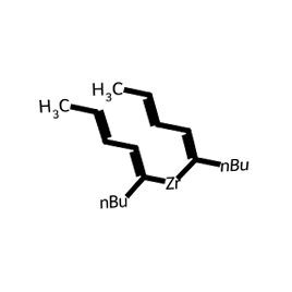 CC=CC=[C](CCCC)[Zr][C](=CC=CC)CCCC